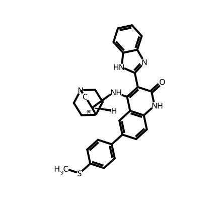 CSc1ccc(-c2ccc3[nH]c(=O)c(-c4nc5ccccc5[nH]4)c(N[C@H]4CN5CCC4CC5)c3c2)cc1